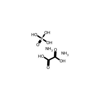 N.N.O=C(O)C(=O)O.O=P(O)(O)O